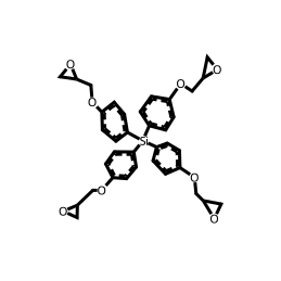 c1cc([Si](c2ccc(OCC3CO3)cc2)(c2ccc(OCC3CO3)cc2)c2ccc(OCC3CO3)cc2)ccc1OCC1CO1